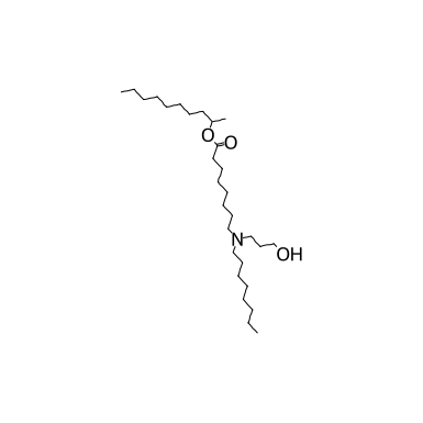 CCCCCCCCC(C)OC(=O)CCCCCCCN(CCCO)CCCCCCCC